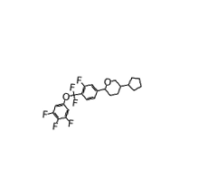 Fc1cc(C2CCC(C3CCCC3)CO2)ccc1C(F)(F)Oc1cc(F)c(F)c(F)c1